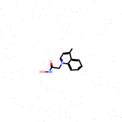 Cc1cc[n+](CC(=O)NO)c2ccccc12